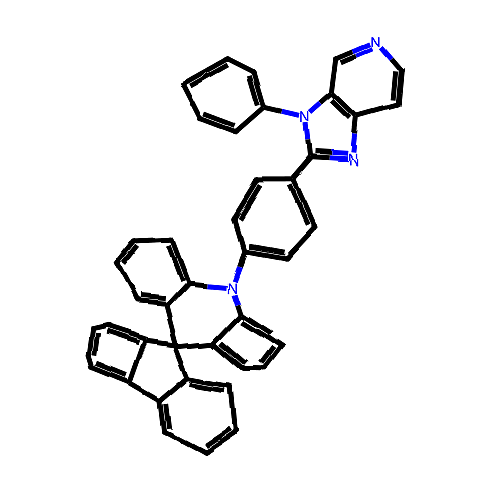 c1ccc(-n2c(-c3ccc(N4c5ccccc5C5(c6ccccc6-c6ccccc65)c5ccccc54)cc3)nc3ccncc32)cc1